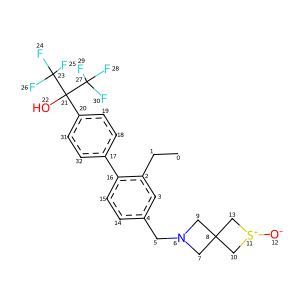 CCc1cc(CN2CC3(C2)C[S+]([O-])C3)ccc1-c1ccc(C(O)(C(F)(F)F)C(F)(F)F)cc1